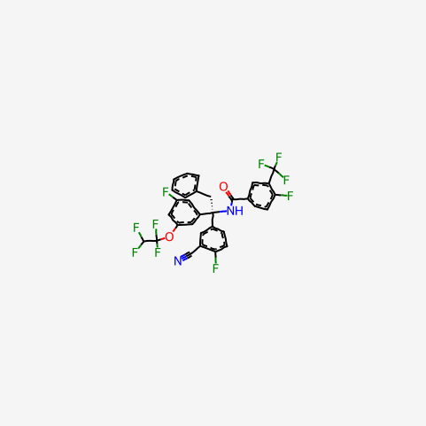 N#Cc1cc([C@](Cc2ccccc2)(NC(=O)c2ccc(F)c(C(F)(F)F)c2)c2cc(F)cc(OC(F)(F)C(F)F)c2)ccc1F